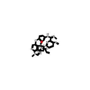 C=CC(=O)N1[C@@H]2CC[C@H]1[C@H](c1ccc(N=C)c(/C(=N\C)Nc3ccc(Oc4cnc5c(c4)ncn5C)c(C)c3)n1)C2